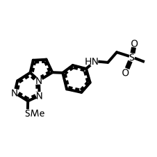 CSc1ncc2ccc(-c3cccc(NCCS(C)(=O)=O)c3)n2n1